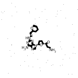 NCCC(=O)[C@@H]1CC[C@H](n2cnc3c(N)nc(N/N=C/C4CCC=CO4)nc32)O1